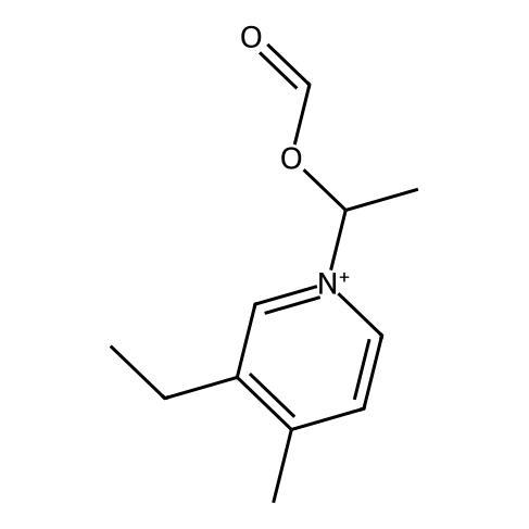 CCc1c[n+](C(C)OC=O)ccc1C